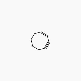 [C]1=C\C#CCCCC/1